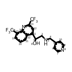 OC(CNCc1ccncc1)c1cc(C(F)(F)F)nc2c(C(F)(F)F)cccc12